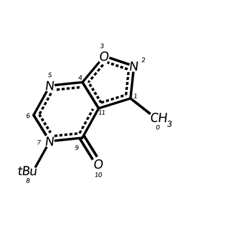 Cc1noc2ncn(C(C)(C)C)c(=O)c12